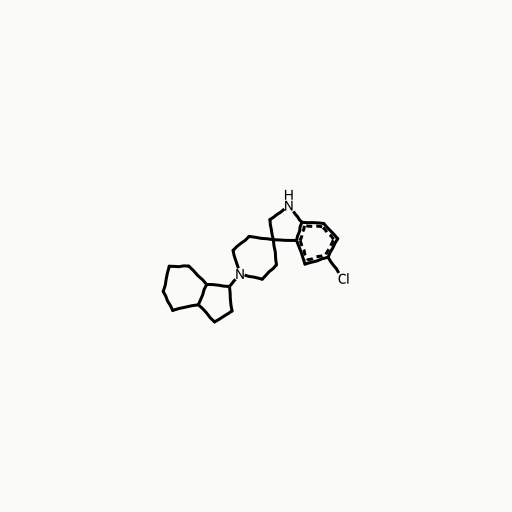 Clc1ccc2c(c1)C1(CCN(C3CCC4CCCCC43)CC1)CN2